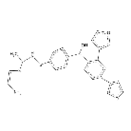 CC(NSc1ccc(C(O)c2ccc(-c3ccoc3)cc2-c2ccoc2)cc1)S/C=C\N